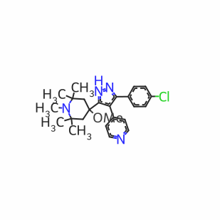 COC1(c2[nH]nc(-c3ccc(Cl)cc3)c2-c2ccncc2)CC(C)(C)N(C)C(C)(C)C1